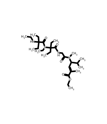 CCNC(CC)(CC)C(=O)N(CC)C(CC)(CC)C(=O)NCC(=O)N(C)C(/C=C(\C)C(=O)OCC)C(C)C